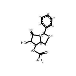 NC(=O)OC1C(O)C(=O)N2C(c3ccccc3)OCC12